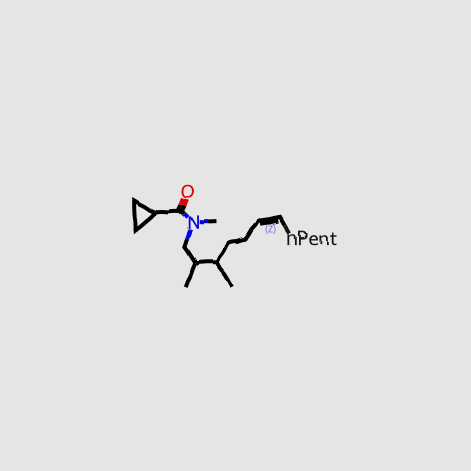 CCCCC/C=C\CCC(C)C(C)CN(C)C(=O)C1CC1